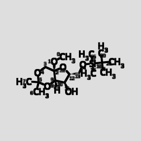 CO[C@]12COC(C)(C)O[C@H]1[C@H](O)[C@@H](CO[Si](C)(C)C(C)(C)C)O2